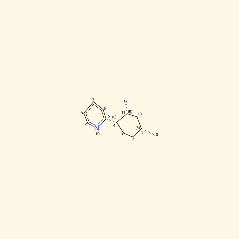 C[C@@H]1CC[C@H](c2ccccn2)[C@H](C)C1